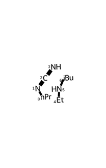 CCCN=C=N.CCNC(C)CC